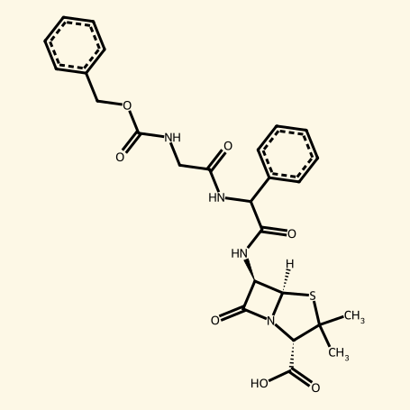 CC1(C)S[C@@H]2[C@H](NC(=O)C(NC(=O)CNC(=O)OCc3ccccc3)c3ccccc3)C(=O)N2[C@H]1C(=O)O